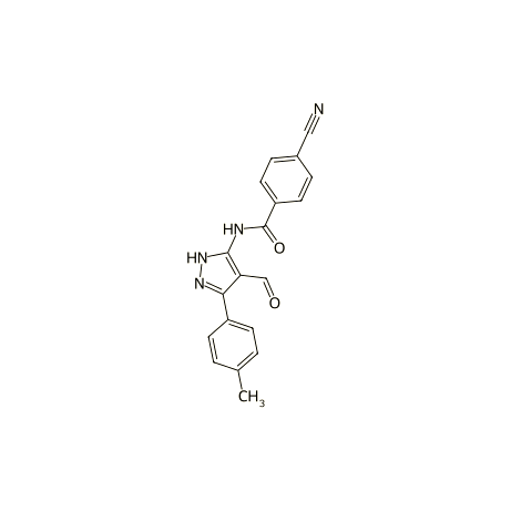 Cc1ccc(-c2n[nH]c(NC(=O)c3ccc(C#N)cc3)c2C=O)cc1